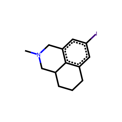 CN1Cc2cc(I)cc3c2C(CCC3)C1